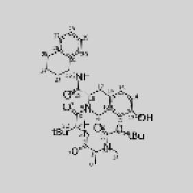 C[C@@H](C(=O)NC(C(=O)N1Cc2cc(O)ccc2C[C@H]1C(=O)N[C@@H]1CCCc2ccccc21)C(C)(C)C)N(C)C(=O)OC(C)(C)C